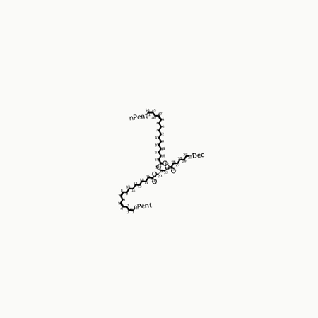 CCCCC/C=C\C/C=C\C/C=C\CCCCCCCCC(=O)OC[C@@H](COC(=O)CCCCCCCCCCCCCCC)OC(=O)CCCCCCCCCCC/C=C\C/C=C\CCCCC